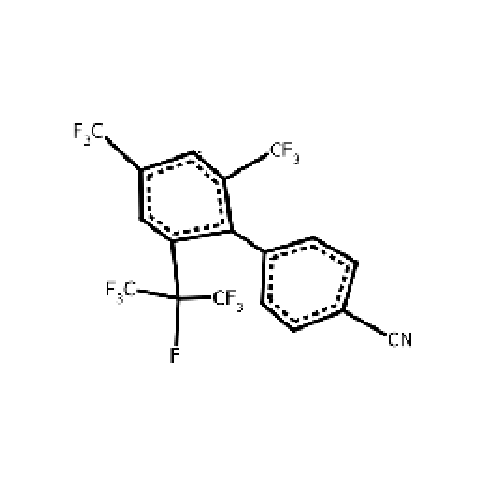 N#Cc1ccc(-c2c(C(F)(F)F)[c]c(C(F)(F)F)cc2C(F)(C(F)(F)F)C(F)(F)F)cc1